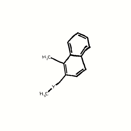 [CH3][Y][c]1ccc2ccccc2c1C